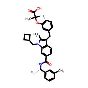 Cc1cccc([C@H](C)NC(=O)c2ccc3c(Cc4cccc(OC(C)(C)C(=O)O)c4)c(C)n(CC4CCC4)c3c2)c1